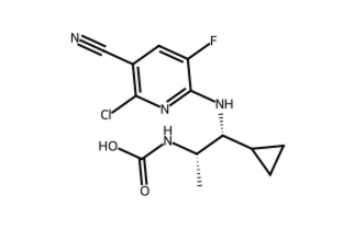 C[C@H](NC(=O)O)[C@H](Nc1nc(Cl)c(C#N)cc1F)C1CC1